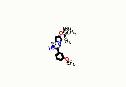 CCN[C@H](CN1CC[C@H](O[Si](C)(C)C(C)(C)C)C1)c1cccc(OC(F)(F)F)c1